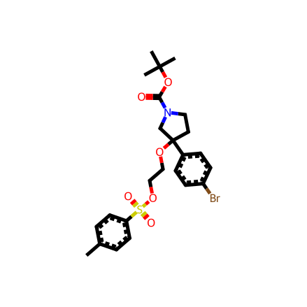 Cc1ccc(S(=O)(=O)OCCOC2(c3ccc(Br)cc3)CCN(C(=O)OC(C)(C)C)C2)cc1